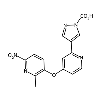 Cc1nc([N+](=O)[O-])ccc1Oc1ccnc(-c2cnn(C(=O)O)c2)c1